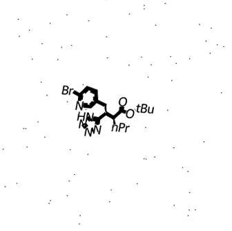 CCC[C@H](C(=O)OC(C)(C)C)[C@H](Cc1ccc(Br)nc1)c1nnn[nH]1